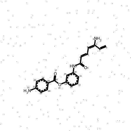 C=C/C(N)=C\C=C\C(=O)Nc1cccc(OC(=O)c2ccc(N)cc2)c1